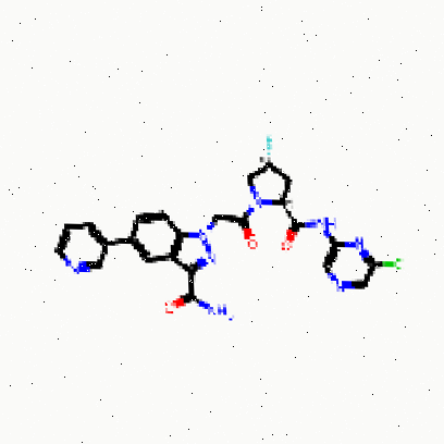 NC(=O)c1nn(CC(=O)N2C[C@H](F)C[C@H]2C(=O)Nc2cncc(Cl)n2)c2ccc(-c3cccnc3)cc12